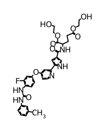 Cc1cccc(NC(=O)Nc2ccc(Oc3ccnc(-c4cc(C(=O)NC(CCC(=O)OCCO)C(=O)OCCO)c[nH]4)c3)cc2F)c1